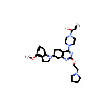 C=CC(O)N1CCN(c2nc(OCCN3CCCC3)nc3c2CCC(N2CCc4c(OC)cccc42)C3)CC1